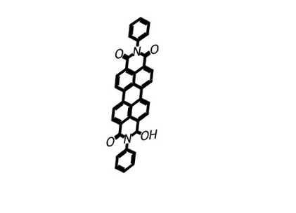 O=C1c2ccc3c4ccc5c6c(ccc(c7ccc(c2c37)C(=O)N1c1ccccc1)c64)C(O)N(c1ccccc1)C5=O